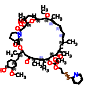 CO[C@H]1C[C@@H]2CC[C@@H](C)[C@@](O)(O2)C(=O)C(=O)N2CCCC[C@H]2C(=O)O[C@H]([C@H](C)C[C@@H]2CC[C@@H](O)[C@H](OC)C2)CC(=O)[C@H](C)/C=C(\C)[C@@H](OC(=O)OCCSSc2ccccn2)[C@@H](OC)C(=O)[C@H](C)C[C@H](C)/C=C/C=C/C=C/1C